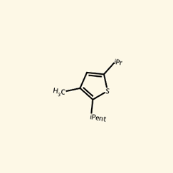 CCCC(C)c1sc(C(C)C)cc1C